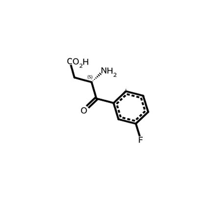 N[C@@H](CC(=O)O)C(=O)c1[c]ccc(F)c1